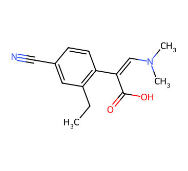 CCc1cc(C#N)ccc1/C(=C/N(C)C)C(=O)O